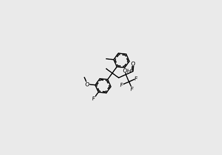 COc1cc(C(C)(CC(O)(C=O)C(F)(F)F)c2ccccc2C)ccc1F